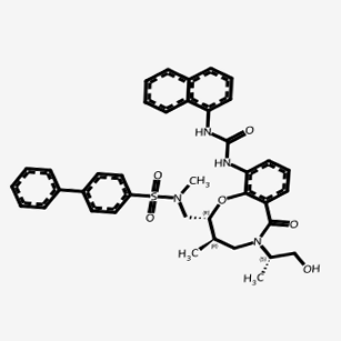 C[C@@H]1CN([C@@H](C)CO)C(=O)c2cccc(NC(=O)Nc3cccc4ccccc34)c2O[C@H]1CN(C)S(=O)(=O)c1ccc(-c2ccccc2)cc1